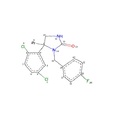 CC(C)C1(c2cc(Cl)ccc2Cl)CNC(=O)N1Cc1ccc(F)cc1